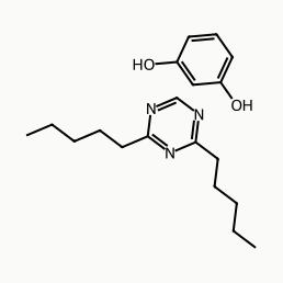 CCCCCc1ncnc(CCCCC)n1.Oc1cccc(O)c1